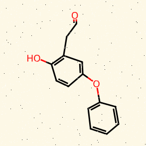 O=CCc1cc(Oc2ccccc2)ccc1O